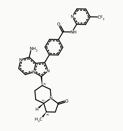 C[C@@H]1CC(=O)N2C[C@H](c3nc(-c4ccc(C(=O)Nc5cc(C(F)(F)F)ccn5)cc4)c4c(N)nccn34)CC[C@@H]12